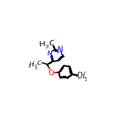 Cc1ccc(OC(C)c2ccnc(C)n2)cc1